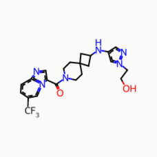 O=C(c1cnc2ccc(C(F)(F)F)cn12)N1CCC2(CC1)CC(Nc1cnn(CCO)c1)C2